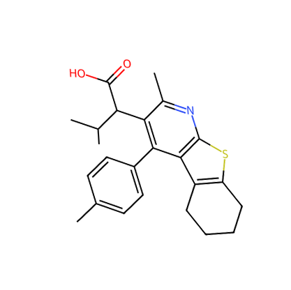 Cc1ccc(-c2c(C(C(=O)O)C(C)C)c(C)nc3sc4c(c23)CCCC4)cc1